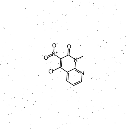 Cn1c(=O)c([N+](=O)[O-])c(Cl)c2cccnc21